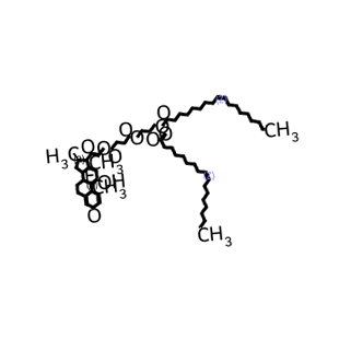 CCCCCCCC/C=C\CCCCCCCC(=O)OCC(COC(=O)CCC(=O)OCC(=O)C1[C@H](C)CC2C3CCC4=CC(=O)C=CC4(C)[C@@]3(F)C(O)CC21C)OC(=O)CCCCCCC/C=C\CCCCCCCC